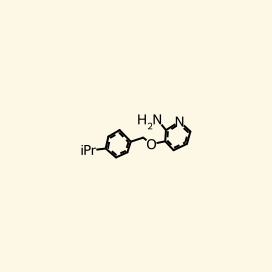 CC(C)c1ccc(COc2cccnc2N)cc1